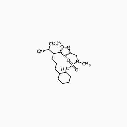 CN(Cc1noc([C@H](CCCC2CCCCC2)C(C(=O)O)C(C)(C)C)n1)S(C)(=O)=O